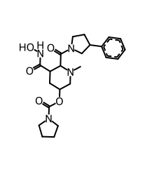 CN1CC(OC(=O)N2CCCC2)CC(C(=O)NO)C1C(=O)N1CCC(c2ccccc2)C1